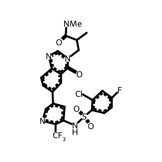 CNC(=O)C(C)Cn1cnc2ccc(-c3cnc(C(F)(F)F)c(NS(=O)(=O)c4ccc(F)cc4Cl)c3)cc2c1=O